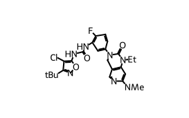 CCN1C(=O)N(c2ccc(F)c(NC(=O)Nc3onc(C(C)(C)C)c3Cl)c2)Cc2cnc(NC)cc21